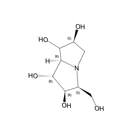 OC[C@H]1[C@@H](O)[C@H](O)[C@H]2C(O)[C@@H](O)CN21